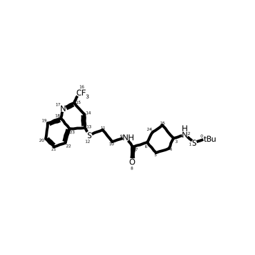 CC(C)(C)SNC1CCC(C(=O)NCCSc2cc(C(F)(F)F)nc3ccccc23)CC1